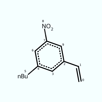 C=Cc1cc(CCCC)cc([N+](=O)[O-])c1